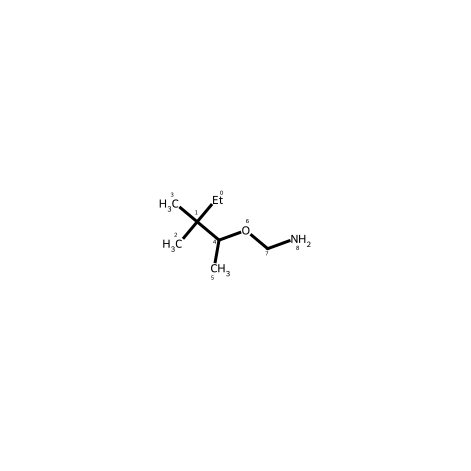 CCC(C)(C)C(C)OCN